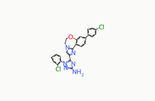 Nc1nc(-c2cn3c(n2)-c2ccc(-c4ccc(Cl)cc4)cc2OCC3)n(-c2ccccc2Cl)n1